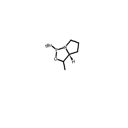 CC1OP(C(C)(C)C)N2CCC[C@H]12